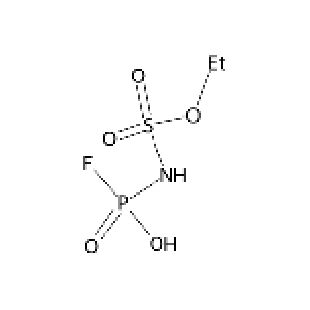 CCOS(=O)(=O)NP(=O)(O)F